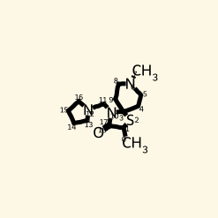 CC1SC2(CCN(C)CC2)N(CN2CCCC2)C1=O